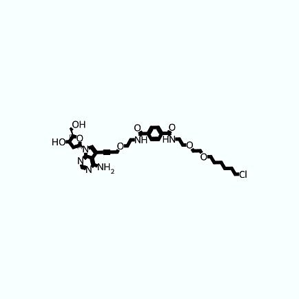 Nc1ncnc2c1c(C#CCOCCNC(=O)c1ccc(C(=O)NCCOCCOCCCCCCCl)cc1)cn2[C@H]1CC(O)[C@@H](CO)O1